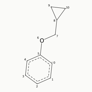 [c]1ccccc1OCC1CC1